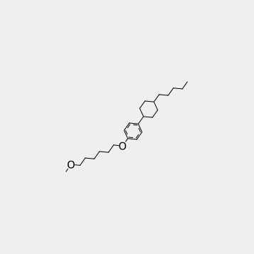 CCCCCC1CCC(c2ccc(OCCCCCCOC)cc2)CC1